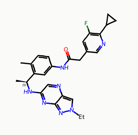 CCn1cc2ncc(N[C@@H](C)c3cc(NC(=O)Cc4cnc(C5CC5)c(F)c4)ccc3C)nc2n1